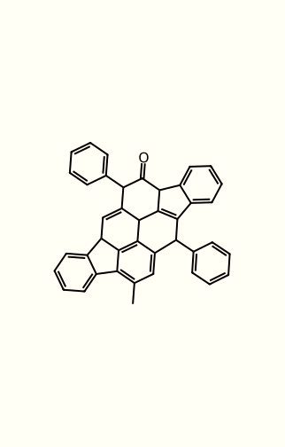 Cc1cc2c3c4c1-c1ccccc1C4C=C1C(c4ccccc4)C(=O)C4C(=C(c5ccccc54)C2c2ccccc2)C13